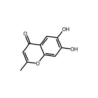 Cc1cc(=O)c2cc(O)c(O)cc2o1